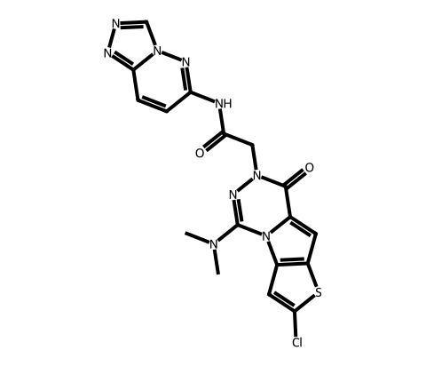 CN(C)c1nn(CC(=O)Nc2ccc3nncn3n2)c(=O)c2cc3sc(Cl)cc3n12